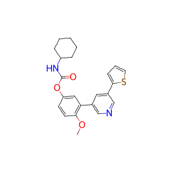 COc1ccc(OC(=O)NC2CCCCC2)cc1-c1cncc(-c2cccs2)c1